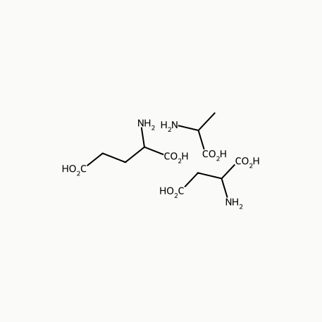 CC(N)C(=O)O.NC(CC(=O)O)C(=O)O.NC(CCC(=O)O)C(=O)O